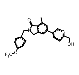 Cc1cc(-c2ccc(CO)nc2)cc2c1C(=O)N(Cc1ccc(OC(F)(F)F)cc1)C2